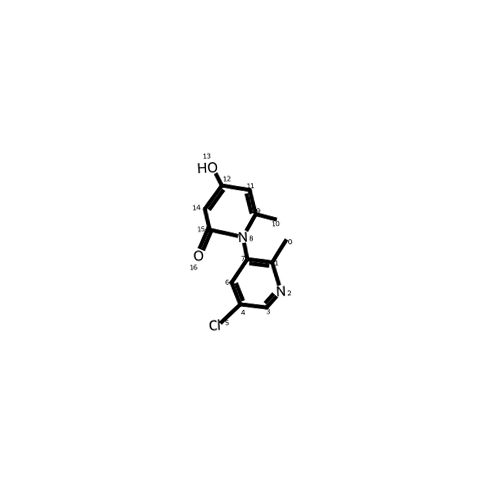 Cc1ncc(Cl)cc1-n1c(C)cc(O)cc1=O